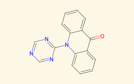 O=c1c2ccccc2n(-c2ncncn2)c2ccccc12